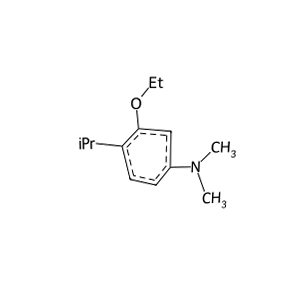 CCOc1cc(N(C)C)ccc1C(C)C